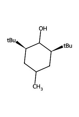 CC1C[C@@H](C(C)(C)C)C(O)[C@@H](C(C)(C)C)C1